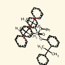 CC(C)[O][Ti](=[O])([O]c1ccccc1C(C)(C)c1ccccc1)([c]1ccccc1C(C)(C)c1ccccc1)[c]1ccccc1C(C)(C)c1ccccc1